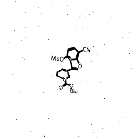 COc1ccc(C#N)c2occ(C3=CCCN(C(=O)OC(C)(C)C)C3)c12